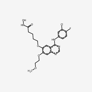 COCCOc1cc2ncnc(Nc3ccc(F)c(Cl)c3)c2cc1OCCCCC(=O)NO